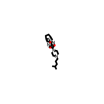 CC(C)CCCN1CCN(c2cnc(N3C4CCC3CN(C(C)C)C4)nc2)CC1